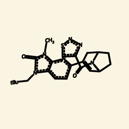 Cn1c(=O)n(CC(C)(C)C)c2ccc(C3=CC4CCC(C3)N4C(=O)c3csnn3)nc21